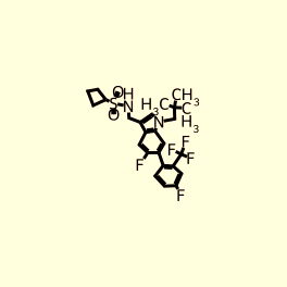 CC(C)(C)Cn1cc(CNS(=O)(=O)C2CCC2)c2cc(F)c(-c3ccc(F)cc3C(F)(F)F)cc21